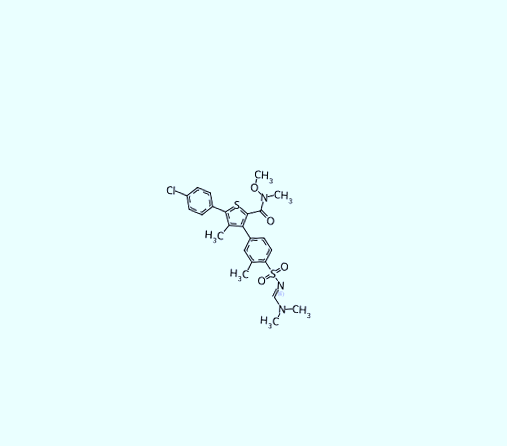 CON(C)C(=O)c1sc(-c2ccc(Cl)cc2)c(C)c1-c1ccc(S(=O)(=O)/N=C/N(C)C)c(C)c1